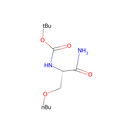 CCCCOC[C@H](NC(=O)OC(C)(C)C)C(N)=O